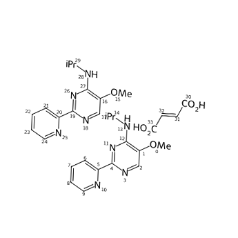 COc1cnc(-c2ccccn2)nc1NC(C)C.COc1cnc(-c2ccccn2)nc1NC(C)C.O=C(O)C=CC(=O)O